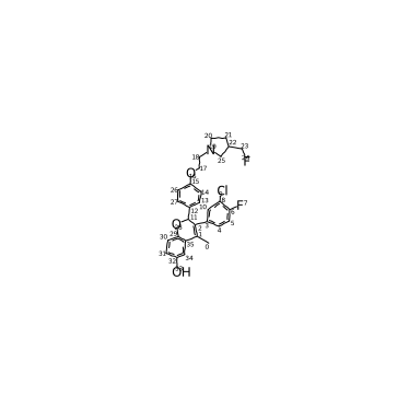 CC1=C(c2ccc(F)c(Cl)c2)C(c2ccc(OCCN3CCC(CF)C3)cc2)Oc2ccc(O)cc21